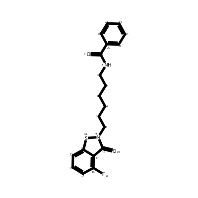 O=C(NCCCCCCn1sc2cccc(F)c2c1=O)c1ccccc1